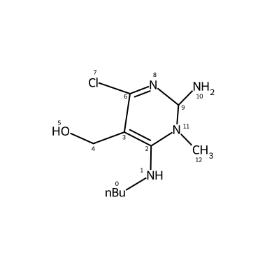 CCCCNC1=C(CO)C(Cl)=NC(N)N1C